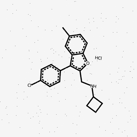 Cc1ccc2oc(CNC3CCC3)c(-c3ccc(Cl)cc3)c2c1.Cl